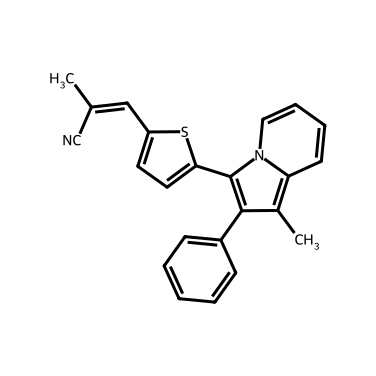 C/C(C#N)=C/c1ccc(-c2c(-c3ccccc3)c(C)c3ccccn23)s1